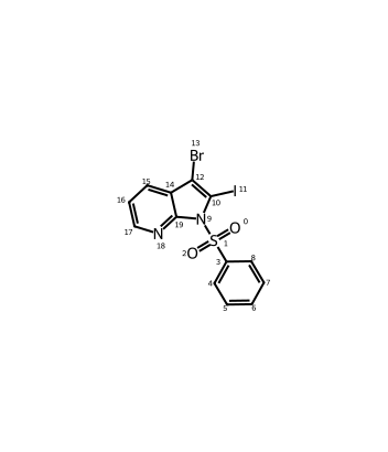 O=S(=O)(c1ccccc1)n1c(I)c(Br)c2cccnc21